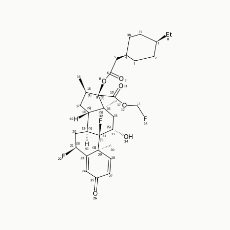 CC[C@H]1CC[C@@H](CC(=O)O[C@]2(C(=O)OCF)[C@H](C)C[C@H]3[C@@H]4C[C@H](F)C5=CC(=O)C=C[C@]5(C)[C@@]4(F)[C@@H](O)C[C@@]32C)CC1